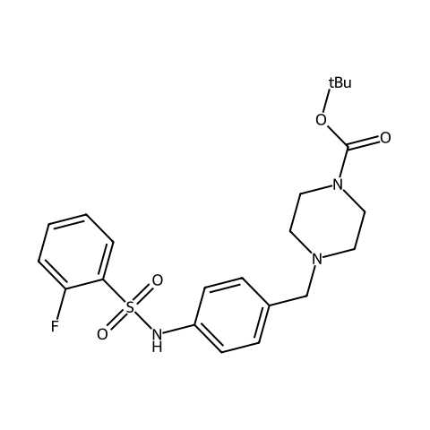 CC(C)(C)OC(=O)N1CCN(Cc2ccc(NS(=O)(=O)c3ccccc3F)cc2)CC1